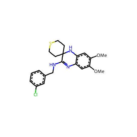 COc1cc2c(cc1OC)NC1(CCSCC1)C(NCc1cccc(Cl)c1)=N2